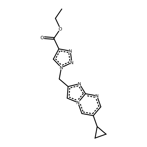 CCOC(=O)c1cn(Cc2cn3cc(C4CC4)cnc3n2)nn1